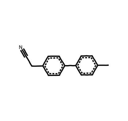 Cc1ccc(-c2ccc(CC#N)cc2)cc1